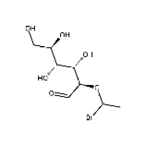 CC(Br)O[C@@H](C=O)[C@@H](O)[C@H](O)[C@H](O)CO